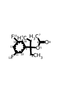 CCC(CC)(OC(C)=O)c1cc(F)cc(F)c1